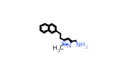 Cn1nc(CN)cc1CCc1ccc2ccccc2c1